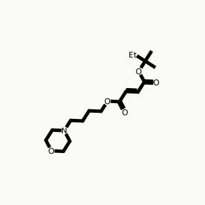 CCC(C)(C)OC(=O)C=CC(=O)OCCCCN1CCOCC1